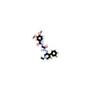 CCN1C/C(=N\NC(=O)CNC(=O)c2ccc(OC)c(OC)c2)c2c(sc3c(F)cccc23)C1